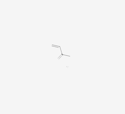 [C]C(=O)C=C.[Li].[Mg]